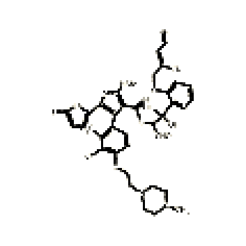 CNc1sc(-c2ccc(F)o2)c(-c2ccc(OCCN3CCN(C)CC3)c(Cl)c2C)c1C(=N)OC(C=O)C(O)(O)c1ccccc1OC/C(C#N)=C/C=N